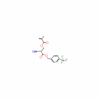 C=C(C)C(=O)OCC(C#N)C(=O)OCc1ccc(C(F)(F)F)cc1